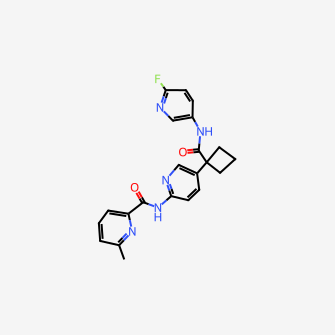 Cc1cccc(C(=O)Nc2ccc(C3(C(=O)Nc4ccc(F)nc4)CCC3)cn2)n1